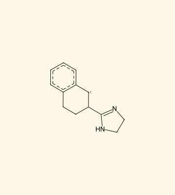 [C]1c2ccccc2CCC1C1=NCCN1